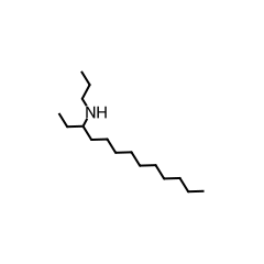 CCCCCCCCCCC(CC)NCCC